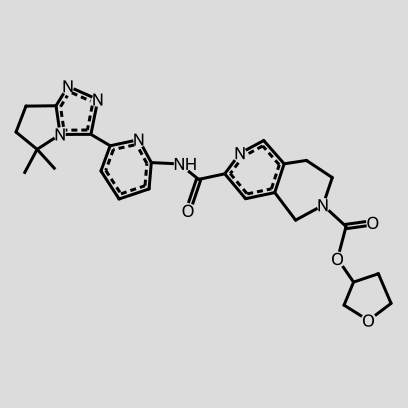 CC1(C)CCc2nnc(-c3cccc(NC(=O)c4cc5c(cn4)CCN(C(=O)OC4CCOC4)C5)n3)n21